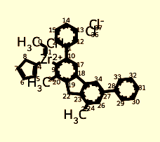 C[C](C)=[Zr+2]([C]1=CC=CC1)[c]1c(-c2ccccc2)cc2c(c1C)Cc1c(C)cc(-c3ccccc3)cc1-2.[Cl-].[Cl-]